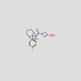 CC1(C)CC2CCCC(C1)C2(CC(=O)N1CC(O)C1)c1ccc(F)cc1